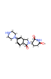 O=C1CC[C@H](N2CC3C=C(N4CCNCC4)C=CC3C2=O)C(=O)N1